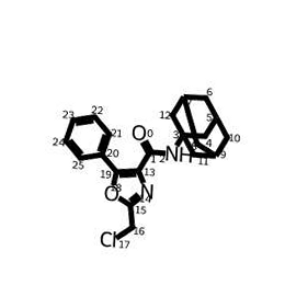 O=C(NC12CC3CC(CC(C3)C1)C2)c1nc(CCl)oc1-c1ccccc1